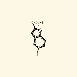 CCOC(=O)c1cc2cc(I)ccc2s1